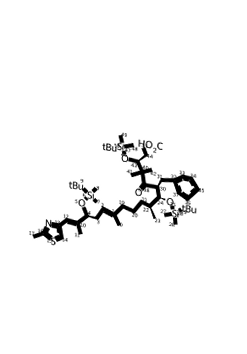 C/C(=C\C[C@H](O[Si](C)(C)C(C)(C)C)/C(C)=C/c1csc(C)n1)CCC[C@H](C)[C@@H](O[Si](C)(C)C(C)(C)C)[C@H](Cc1ccccc1)C(=O)C(C)(C)[C@H](CC(=O)O)O[Si](C)(C)C(C)(C)C